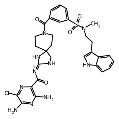 CN(CCc1c[nH]c2ccccc12)S(=O)(=O)c1cccc(C(=O)N2CCC3(CC2)CN/C(=N\C(=O)c2nc(Cl)c(N)nc2N)N3)c1